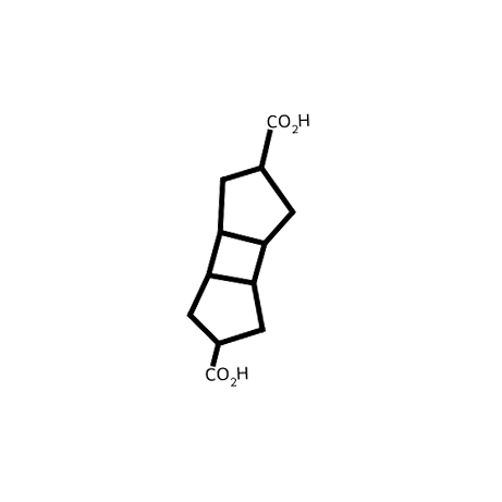 O=C(O)C1CC2C(C1)C1CC(C(=O)O)CC21